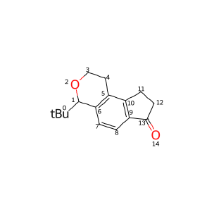 CC(C)(C)C1OCCc2c1ccc1c2CCC1=O